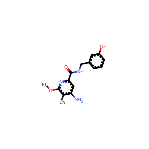 CCOc1nc(C(=O)NCc2cccc(O)c2)cc(N)c1C#N